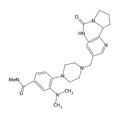 CNC(=O)c1ccc(N2CCN(Cc3cnc4c(c3)NC(=O)N3CCCC43)CC2)c(N(C)C)c1